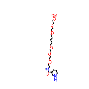 CN(CCOCCOCCOCCCCCOCCOCCOO)C(=O)[C@H]1CCCNC1